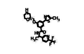 Cc1cnc(-c2cc(OC[C@H]3CNCCO3)cc(C(=O)NC(C)c3ccc(C(F)(F)F)nc3)c2)s1